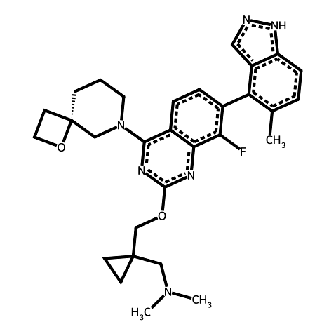 Cc1ccc2[nH]ncc2c1-c1ccc2c(N3CCC[C@]4(CCO4)C3)nc(OCC3(CN(C)C)CC3)nc2c1F